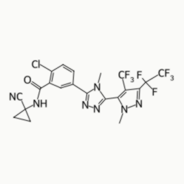 Cn1nc(C(F)(F)C(F)(F)F)c(C(F)(F)F)c1-c1nnc(-c2ccc(Cl)c(C(=O)NC3(C#N)CC3)c2)n1C